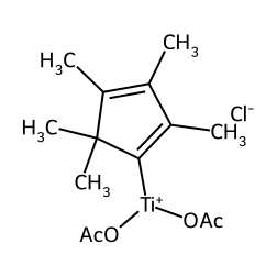 CC(=O)[O][Ti+]([O]C(C)=O)[C]1=C(C)C(C)=C(C)C1(C)C.[Cl-]